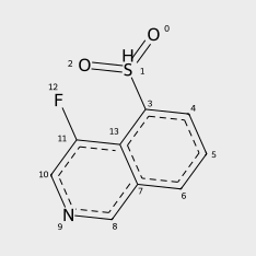 O=[SH](=O)c1cccc2cncc(F)c12